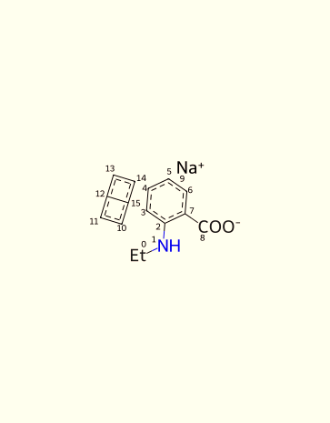 CCNc1ccccc1C(=O)[O-].[Na+].c1cc2ccc1-2